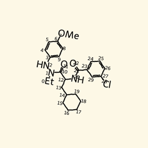 CCN(Nc1ccc(OC)cc1)C(=O)C(CC1CCCCC1)NC(=O)c1cccc(Cl)c1